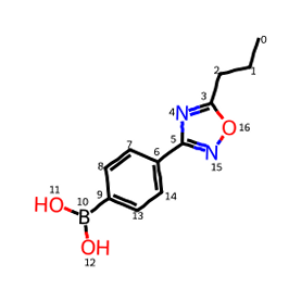 CCCc1nc(-c2ccc(B(O)O)cc2)no1